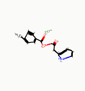 Cc1ccc(C(=O)OC(=O)Cc2ccc[nH]2)cc1.Cl